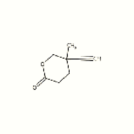 C#CC1(C)CCC(=O)OC1